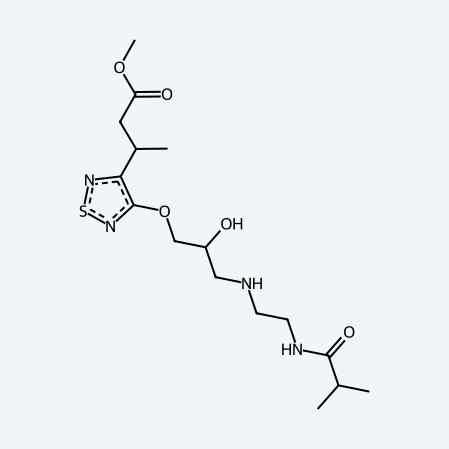 COC(=O)CC(C)c1nsnc1OCC(O)CNCCNC(=O)C(C)C